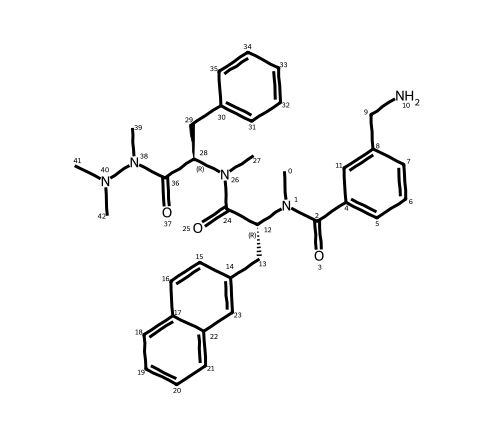 CN(C(=O)c1cccc(CN)c1)[C@H](Cc1ccc2ccccc2c1)C(=O)N(C)[C@H](Cc1ccccc1)C(=O)N(C)N(C)C